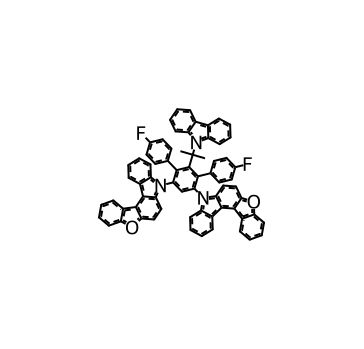 CC(C)(c1c(-c2ccc(F)cc2)c(-n2c3ccccc3c3c4c(ccc32)oc2ccccc24)cc(-n2c3ccccc3c3c4c(ccc32)oc2ccccc24)c1-c1ccc(F)cc1)n1c2ccccc2c2ccccc21